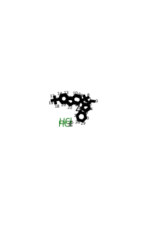 CCC1=C(C2(C(C)(C)C)C=CC3=c4ccc(C(C)(C)C)cc4=CC3=[C]2[Zr]=[C]2CCCCC2)CC=C1.Cl.Cl